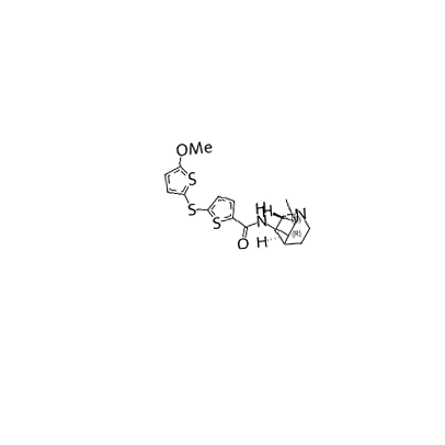 COc1ccc(Sc2ccc(C(=O)N[C@@H]3C4CCN(CC4)[C@H]3C)s2)s1